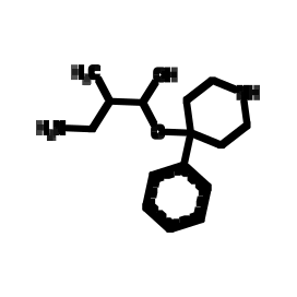 CC(CN)C(O)OC1(c2ccccc2)CCNCC1